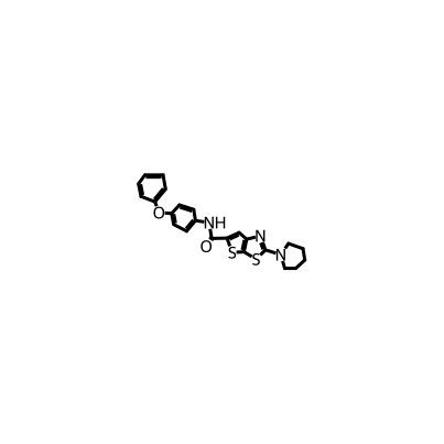 O=C(Nc1ccc(Oc2ccccc2)cc1)c1cc2nc(N3CCCCC3)sc2s1